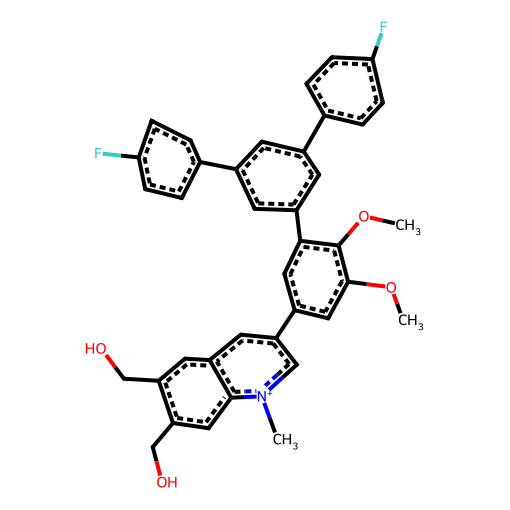 COc1cc(-c2cc3cc(CO)c(CO)cc3[n+](C)c2)cc(-c2cc(-c3ccc(F)cc3)cc(-c3ccc(F)cc3)c2)c1OC